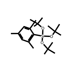 Cc1cc(C)c([Si](OC(C)(C)C)(OC(C)(C)C)OC(C)(C)C)c(C)c1